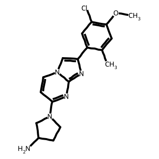 COc1cc(C)c(-c2cn3ccc(N4CCC(N)C4)nc3n2)cc1Cl